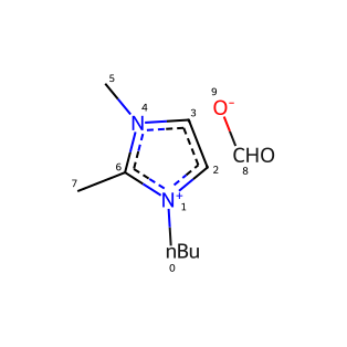 CCCC[n+]1ccn(C)c1C.O=C[O-]